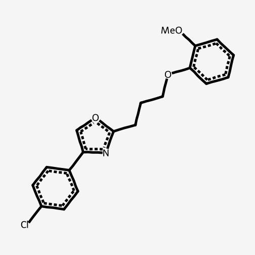 COc1ccccc1OCCCc1nc(-c2ccc(Cl)cc2)co1